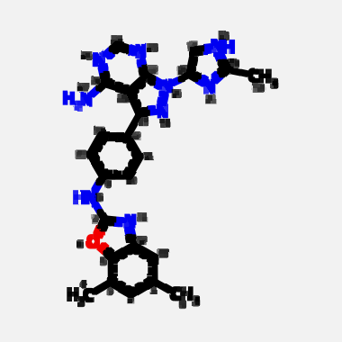 Cc1cc(C)c2oc(Nc3ccc(-c4nn(-c5c[nH]c(C)n5)c5ncnc(N)c45)cc3)nc2c1